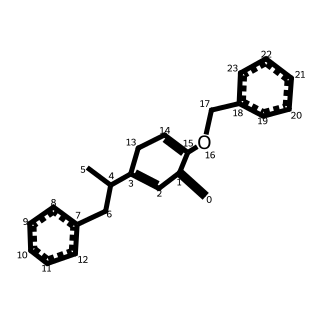 C=C1C=C(C(C)Cc2ccccc2)CC=C1OCc1ccccc1